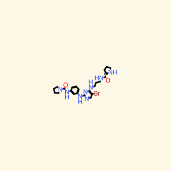 O=C(NCCCNc1nc(Nc2cccc(NC(=O)N3CCCC3)c2)ncc1Br)[C@H]1CCCN1